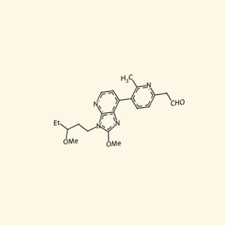 CCC(CCn1c(OC)nc2c(-c3ccc(CC=O)nc3C)ccnc21)OC